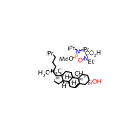 CC(C)CCC[C@@H](C)[C@H]1CC[C@H]2[C@@H]3CC=C4C[C@@H](O)CC[C@]4(C)[C@H]3CC[C@]12C.CCN(OP(OC)N(C(C)C)C(C)C)C(=O)O